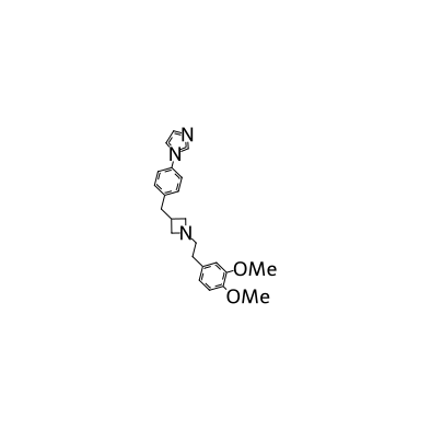 COc1ccc(CCN2CC(Cc3ccc(-n4ccnc4)cc3)C2)cc1OC